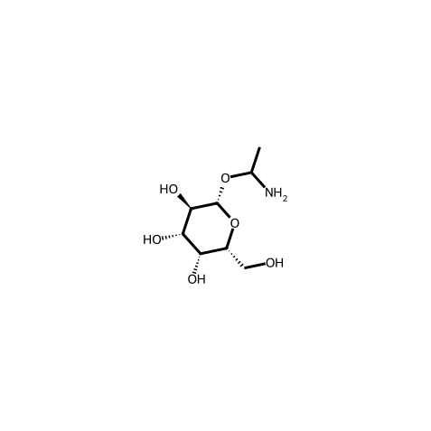 CC(N)O[C@@H]1O[C@H](CO)[C@H](O)[C@H](O)[C@H]1O